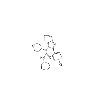 O=C(NC1CCCCC1)N(c1c2ccccc2nn1-c1ccc(Cl)cc1)C1CCOCC1